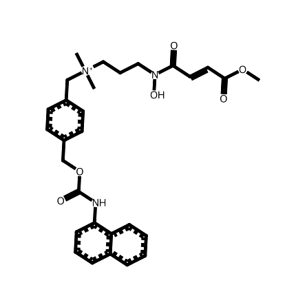 COC(=O)/C=C/C(=O)N(O)CCC[N+](C)(C)Cc1ccc(COC(=O)Nc2cccc3ccccc23)cc1